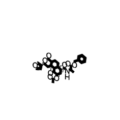 CC(=O)O[C@H]1C[C@@H](C(=O)NC(C)C(=O)OCc2ccccc2)[C@]2(C)CCC3C(=O)O[C@@H](c4ccoc4)C[C@]3(C)C2C1=O